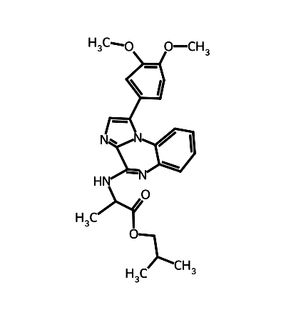 COc1ccc(-c2cnc3c(NC(C)C(=O)OCC(C)C)nc4ccccc4n23)cc1OC